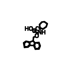 O=C(NC1(C(=O)O)CCCCCC1)OCC1c2ccccc2-c2ccccc21